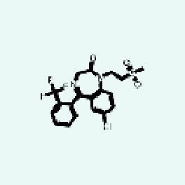 CS(=O)(=O)CCN1C(=O)CN=C(c2ccccc2C(F)(F)F)c2cc(Cl)ccc21